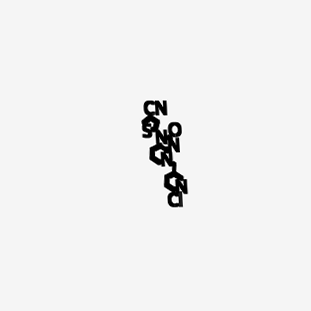 N#Cc1csc(-n2c3cccn(Cc4ccc(Cl)nc4)c-3nc2=O)c1